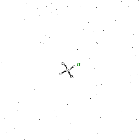 C[CH2][Sb+]([CH2]C)([CH2]C)[CH2]C.[Cl-]